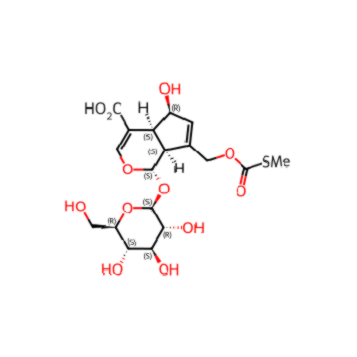 CSC(=O)OCC1=C[C@H](O)[C@@H]2C(C(=O)O)=CO[C@@H](O[C@@H]3O[C@H](CO)[C@@H](O)[C@H](O)[C@H]3O)[C@H]12